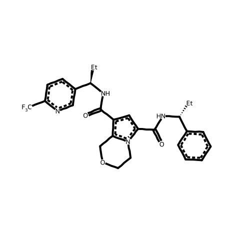 CC[C@@H](NC(=O)c1cc(C(=O)N[C@H](CC)c2ccccc2)n2c1COCC2)c1ccc(C(F)(F)F)nc1